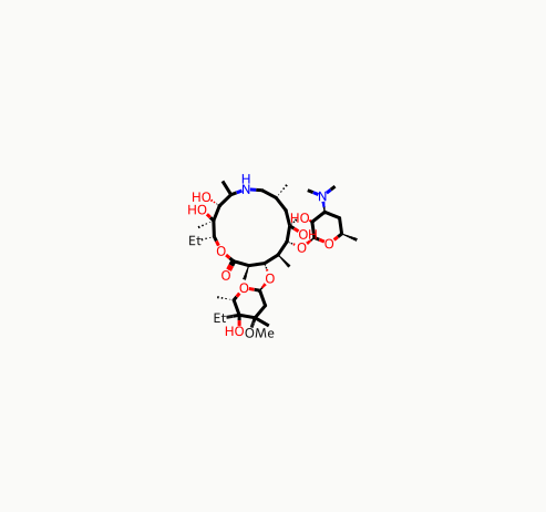 CC[C@H]1OC(=O)[C@H](C)[C@@H](O[C@H]2CC(C)(OC)C(O)(CC)[C@H](C)O2)[C@H](C)[C@@H](O[C@@H]2O[C@H](C)C[C@H](N(C)C)[C@H]2O)[C@](C)(O)C[C@@H](C)CNC(C)[C@@H](O)[C@]1(C)O